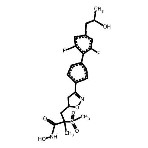 CC(O)Cc1cc(F)c(-c2ccc(C3=NOC(CC(C)(C(=O)NO)S(C)(=O)=O)C3)cc2)c(F)c1